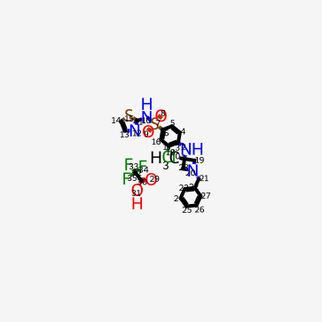 CC1(Nc2ccc(S(=O)(=O)Nc3nccs3)cc2Cl)CN(Cc2ccccc2)C1.O=C(O)C(F)(F)F